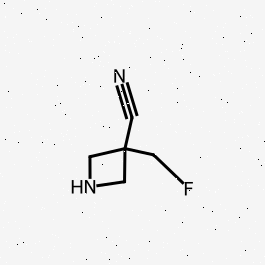 N#CC1(CF)CNC1